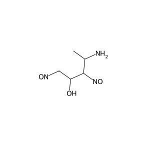 CC(N)C(N=O)C(O)CN=O